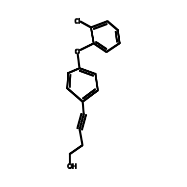 OCCC#Cc1ccc(Oc2ccccc2Cl)cc1